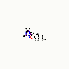 C/C=C/c1ccc(OP2(C)=NP(C)(C)=NP(C)(C)=N2)cc1